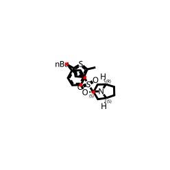 CCCCc1ccc(O[C@@H]2C[C@H]3CC[C@@H](C2)N3CS(=O)(=O)c2cc(C)sc2C)cc1